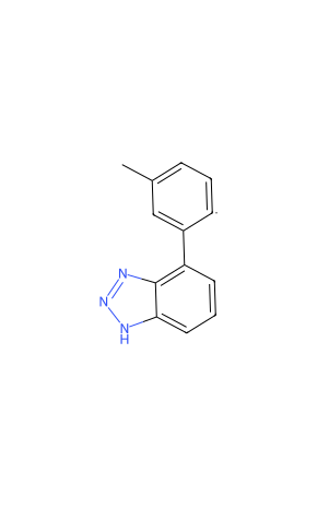 Cc1cc[c]c(-c2cccc3[nH]nnc23)c1